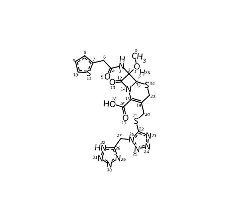 COC1(NC(=O)Cc2cccs2)C(=O)N2C(C(=O)O)=C(CSc3nnnn3Cc3nnn[nH]3)CS[C@@H]21